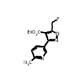 CCOC(=O)c1c(-c2ccc(C)nc2)noc1CF